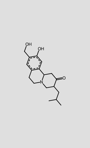 CC(C)CC1CN2CCc3cc(CO)c(O)cc3C2CC1=O